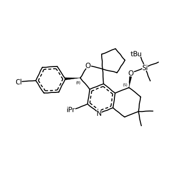 CC(C)c1nc2c(c3c1[C@@H](c1ccc(Cl)cc1)OC31CCCC1)[C@@H](O[Si](C)(C)C(C)(C)C)CC(C)(C)C2